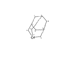 C1C2CC3CC1[CH2][Ge]([CH2]2)[CH2]3